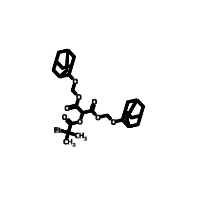 CCC(C)(C)C(=O)OC(C(=O)OCOC1C2CC3CC(C2)CC1C3)C(=O)OCOC1C2CC3CC(C2)CC1C3